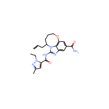 C=CCC1CCCOc2cc(C(N)=O)cc3nc(NC(=O)c4cc(C)nn4CC)n1c23